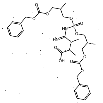 CC(COC(=O)OCc1ccccc1)COP(=O)(NC(=N)N(C)C(C)C(=O)O)OCC(C)COC(=O)OCc1ccccc1